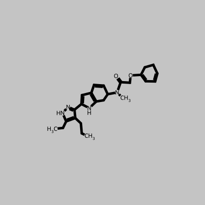 CCCc1c(-c2cc3c([nH]2)CC(N(C)C(=O)COC2=CC=CCC2)C=C3)n[nH]c1CC